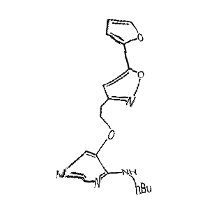 CCCCNc1ncncc1OCc1cc(-c2ccco2)on1